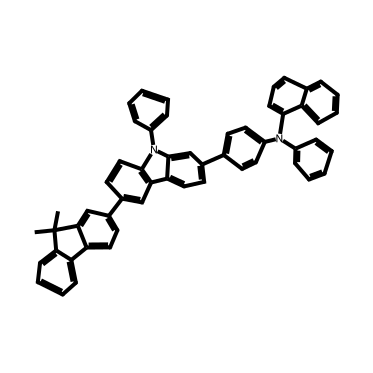 CC1(C)c2ccccc2-c2ccc(-c3ccc4c(c3)c3ccc(-c5ccc(N(c6ccccc6)c6cccc7ccccc67)cc5)cc3n4-c3ccccc3)cc21